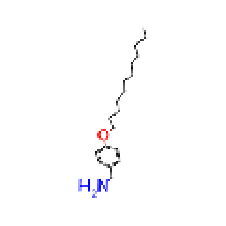 CCCCCCCCCCCCOc1ccc(CN)cc1